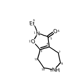 CCn1oc2c(c1=O)CCNCC2